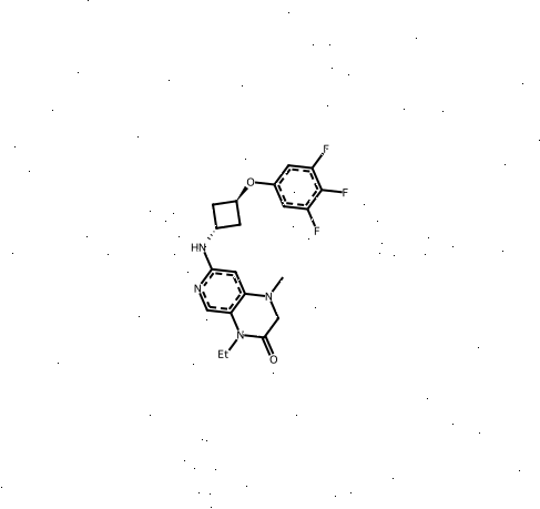 CCN1C(=O)CN(C)c2cc(N[C@H]3C[C@H](Oc4cc(F)c(F)c(F)c4)C3)ncc21